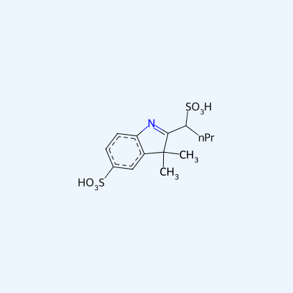 CCCC(C1=Nc2ccc(S(=O)(=O)O)cc2C1(C)C)S(=O)(=O)O